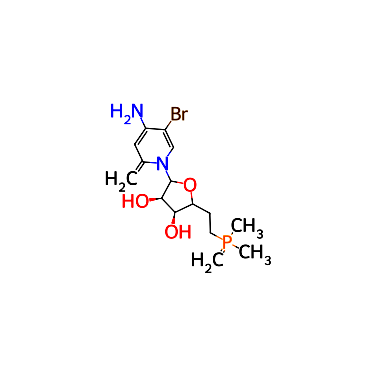 C=C1C=C(N)C(Br)=CN1C1OC(CCP(=C)(C)C)[C@@H](O)[C@H]1O